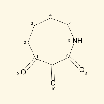 O=C1CCCCNC(=O)C1=O